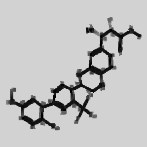 COC(=O)[C@@H](C)[C@@H](O)c1ccc2c(c1)OC(c1ccc(-c3cc(OC)ccc3F)nc1C(F)(F)F)CO2